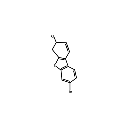 ClC1C=Cc2c(sc3cc(Br)ccc23)C1